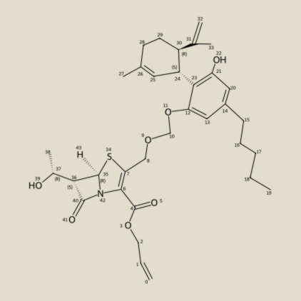 C=CCOC(=O)C1=C(COCOc2cc(CCCCC)cc(O)c2[C@@H]2C=C(C)CC[C@H]2C(=C)C)S[C@@H]2[C@@H]([C@@H](C)O)C(=O)N12